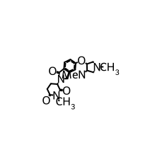 CNC1CN(C)CC1Oc1ccc2c(c1)CN(C1CCC(=O)N(C)C1=O)C2=O